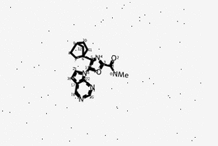 CNC(=O)c1nc(C23CCC(CC2)C3)c(-n2ccc3cncnc32)o1